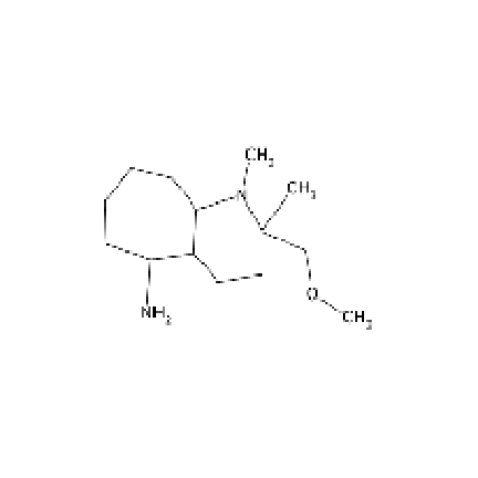 COCC1(C)CCC2C(N)CCCCC2N1C